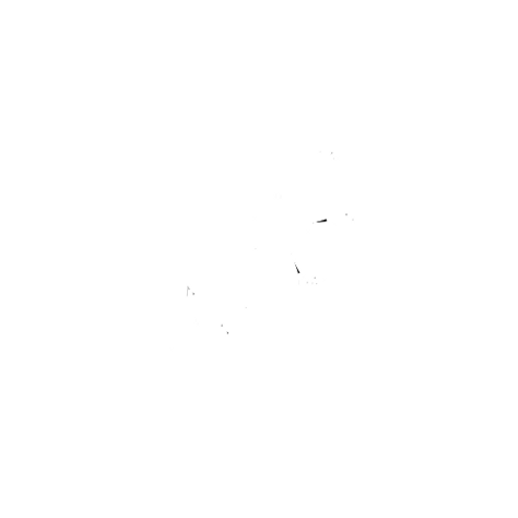 CC(=O)OC[C@H]1O[C@@H](c2c[nH]c(=O)[nH]c2=O)[C@H](OC(C)=O)[C@@H]1OC(C)=O